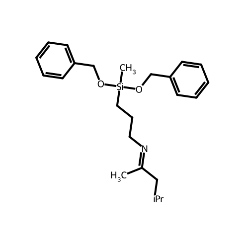 C/C(CC(C)C)=N\CCC[Si](C)(OCc1ccccc1)OCc1ccccc1